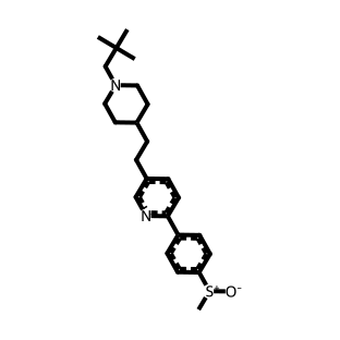 C[S+]([O-])c1ccc(-c2ccc(CCC3CCN(CC(C)(C)C)CC3)cn2)cc1